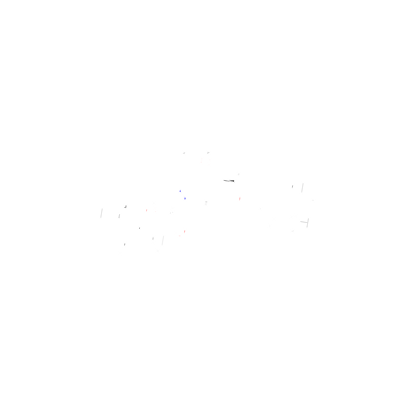 C=C/C(=C\C)OC[C@H]1CN(C(=O)OC(C)(C)C)CCO1